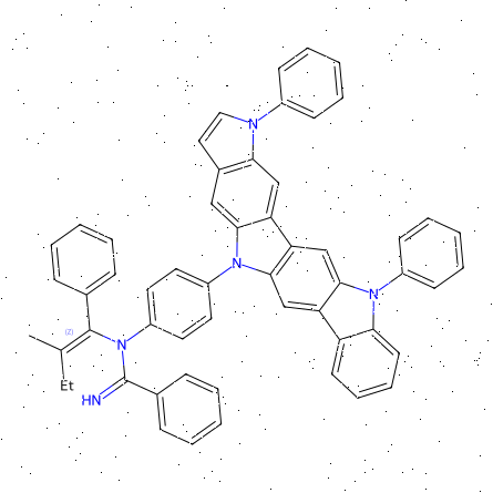 CC/C(C)=C(/c1ccccc1)N(C(=N)c1ccccc1)c1ccc(-n2c3cc4ccn(-c5ccccc5)c4cc3c3cc4c(cc32)c2ccccc2n4-c2ccccc2)cc1